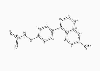 COc1ccc2c(-c3ccc(CN[SH](=O)=O)cc3)ccnc2c1